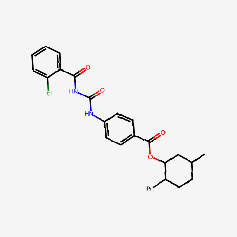 CC1CCC(C(C)C)C(OC(=O)c2ccc(NC(=O)NC(=O)c3ccccc3Cl)cc2)C1